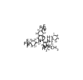 CC1(C)CC(c2ccccc2)Nc2c(C(=O)N(Cc3ccc(C(F)(F)F)cc3)Cc3ccc(C(F)(F)F)cc3)cnn21